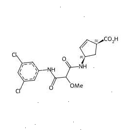 COC(C(=O)Nc1cc(Cl)cc(Cl)c1)C(=O)N[C@H]1C=C[C@@H](C(=O)O)C1